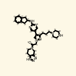 O=C(Cn1cc(-c2cnc(NC3Cc4ccccc4C3)nc2)c(CCCN2CCNCC2)n1)N1CCc2[nH]nnc2C1